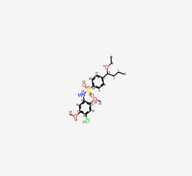 CCCC(OCC)c1ccc(S(=O)(=O)Nc2cc(OC)c(Cl)cc2OC)cc1